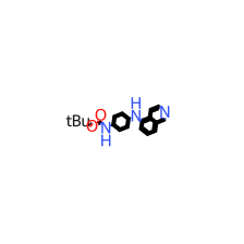 CC(C)(C)OC(=O)N[C@H]1CC[C@H](Nc2cccc3cnccc23)CC1